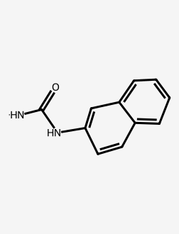 [NH]C(=O)Nc1ccc2ccccc2c1